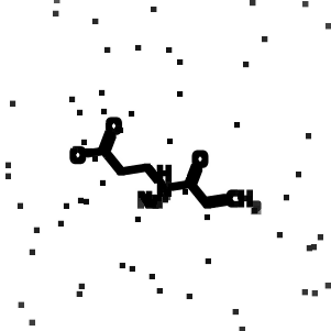 C=CC(=O)NCCC(=O)[O-].[Na+]